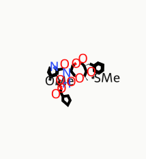 COc1ccnc(C(=O)N[C@H]2COC(=O)[C@H](Cc3ccccc3)[C@@H](OCSC)[C@H](C)OC2=O)c1OCOC(=O)C1CCCC1